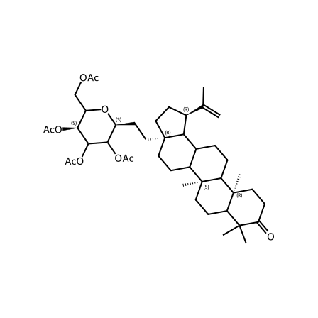 C=C(C)[C@@H]1CC[C@]2(CC[C@@H]3OC(COC(C)=O)[C@H](OC(C)=O)C(OC(C)=O)C3OC(C)=O)CCC3C(CCC4[C@@]3(C)CCC3C(C)(C)C(=O)CC[C@@]34C)C12